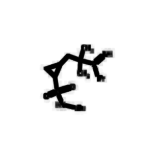 CC(C)S(=N)C(C)(C)CC1CC1S(=O)(=O)NC(C)(C)C